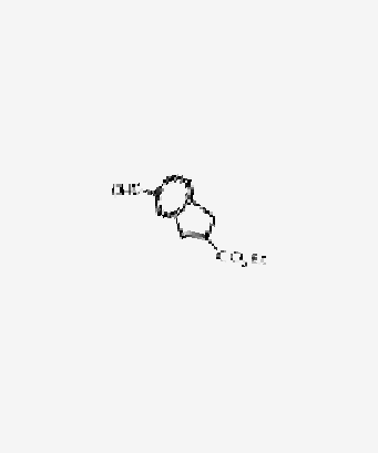 CCOC(=O)C1Cc2ccc(C=O)cc2C1